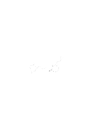 NCCN1CCOC(NCCCN2CCOCC2)C1